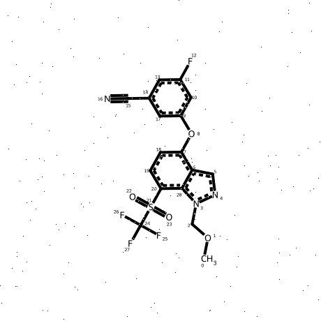 COCn1ncc2c(Oc3cc(F)cc(C#N)c3)ccc(S(=O)(=O)C(F)(F)F)c21